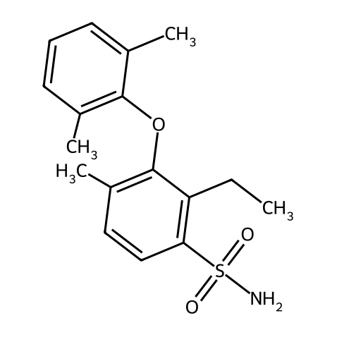 CCc1c(S(N)(=O)=O)ccc(C)c1Oc1c(C)cccc1C